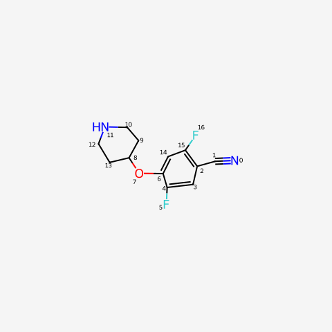 N#Cc1cc(F)c(OC2CCNCC2)cc1F